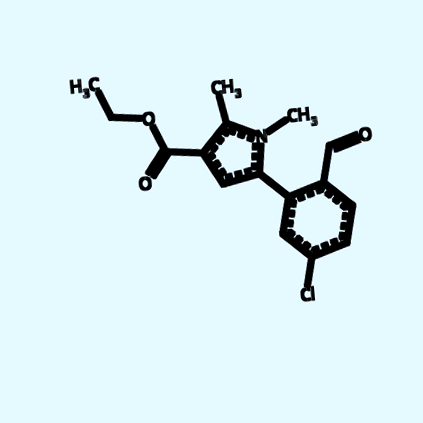 CCOC(=O)c1cc(-c2cc(Cl)ccc2C=O)n(C)c1C